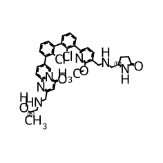 COc1nc(-c2cccc(-c3cccc(-c4ccc5nc(CNC[C@H](C)O)cc(=O)n5c4)c3Cl)c2Cl)ccc1CNC[C@H]1CCC(=O)N1